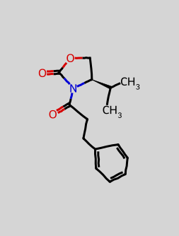 CC(C)[C@@H]1COC(=O)N1C(=O)CCc1ccccc1